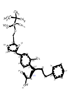 CC(C)(C)[Si](C)(C)OCc1nnc(-c2ccc(/C(=C\C(=O)O)CCc3ccccc3)c(Cl)c2)o1